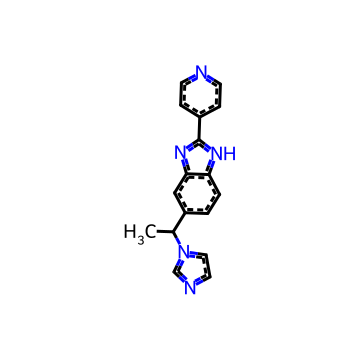 CC(c1ccc2[nH]c(-c3ccncc3)nc2c1)n1ccnc1